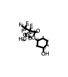 O=C(OC1CCCC(O)C1)C(F)(C(F)(F)F)S(=O)(=O)O